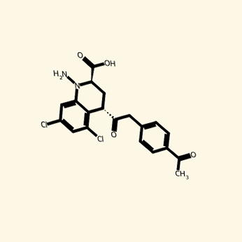 CC(=O)c1ccc(CC(=O)[C@H]2C[C@H](C(=O)O)N(N)c3cc(Cl)cc(Cl)c32)cc1